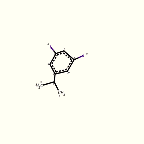 [CH2]C(C)c1cc(I)cc(I)c1